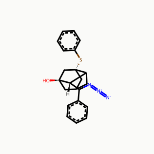 [N-]=[N+]=NC(c1ccccc1)[C@H]1C2CC3C[C@@]2(Sc2ccccc2)C[C@@]1(O)C3